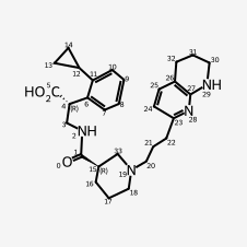 O=C(NC[C@H](C(=O)O)c1ccccc1C1CC1)[C@@H]1CCCN(CCCc2ccc3c(n2)NCCC3)C1